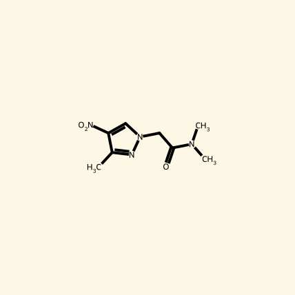 Cc1nn(CC(=O)N(C)C)cc1[N+](=O)[O-]